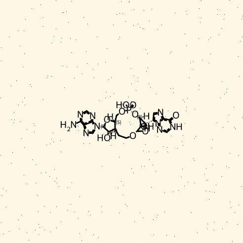 Nc1ncnc2c1ncn2[C@@H]1O[C@@H]2COP(=O)(O)O[C@@H]3[C@H](O)C(OCC[C@H]2[C@H]1O)O[C@H]3c1cnc2c(=O)[nH]cnn12